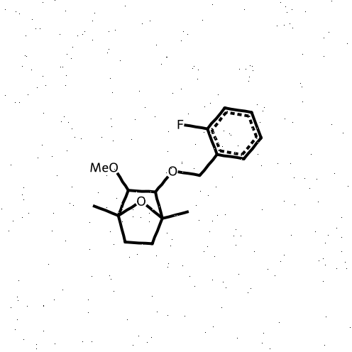 COC1C(OCc2ccccc2F)C2(C)CCC1(C)O2